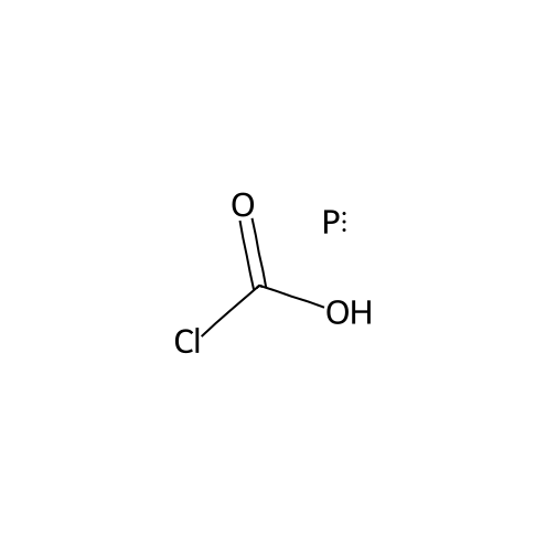 O=C(O)Cl.[P]